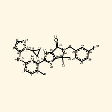 Cc1cnc(Nc2ccnn2C2CC2)nc1-c1nc2c(s1)C(C)(C)N(Cc1cccc(F)c1)C2=O